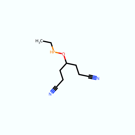 CCPOC(CCC#N)CCC#N